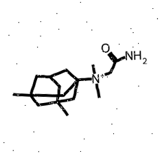 CC12CC3CC(C)(C1)CC([N+](C)(C)CC(N)=O)(C3)C2